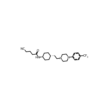 N#CCCCC(=O)N[C@H]1CC[C@H](CCN2CCN(c3ccc(C(F)(F)F)cc3)CC2)CC1